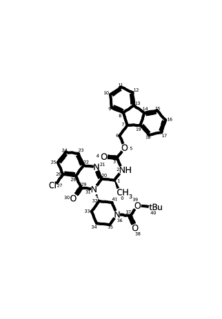 C[C@H](NC(=O)OCC1c2ccccc2-c2ccccc21)c1nc2cccc(Cl)c2c(=O)n1[C@H]1CCCN(C(=O)OC(C)(C)C)C1